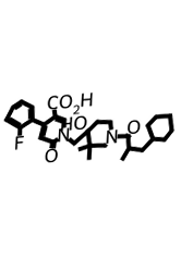 CC(CC1CCCCC1)C(=O)N1CCC(O)(Cn2cc(C(=O)O)c(-c3ccccc3F)cc2=O)C(C)(C)C1